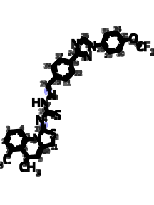 Cc1cccc2c1C(C)C=C1CS/C(=N\C(=S)N/N=C/c3ccc(-c4ncn(-c5ccc(OC(F)(F)F)cc5)n4)cc3)N12